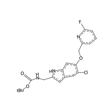 CC(C)(C)OC(=O)NCc1cc2cc(Cl)c(OCc3cccc(F)n3)cc2[nH]1